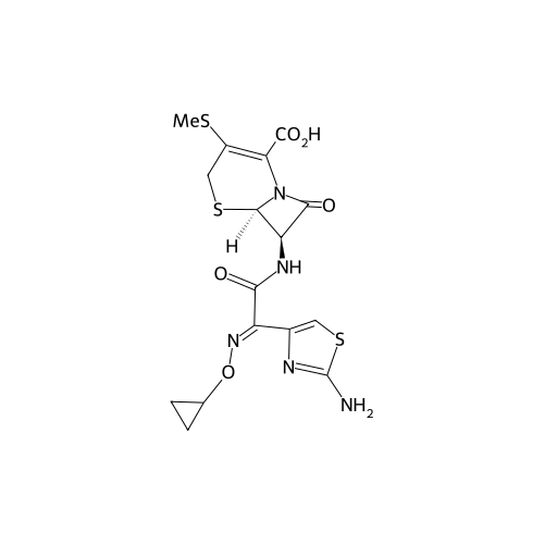 CSC1=C(C(=O)O)N2C(=O)[C@@H](NC(=O)/C(=N/OC3CC3)c3csc(N)n3)[C@H]2SC1